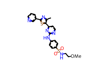 COCCNS(=O)(=O)c1ccc(Nc2nccc(-c3sc(-c4cccnc4)nc3C)n2)cc1